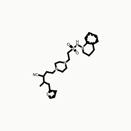 CC(Cc1cccs1)C(C#N)CCN1CCN(CCS(=O)(=O)NN2CCCc3ccccc32)CC1